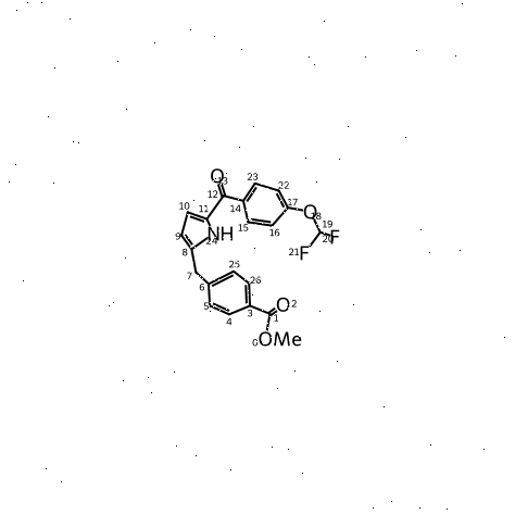 COC(=O)c1ccc(Cc2ccc(C(=O)c3ccc(OC(F)F)cc3)[nH]2)cc1